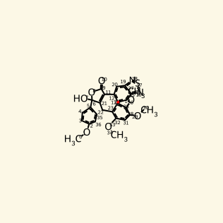 COc1ccc(C2(O)OC(=O)C(c3ccc4nsnc4c3)=C2Cc2cc(OC)c(OC)cc2OC)cc1